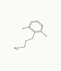 CCCCc1c(I)cccc1I